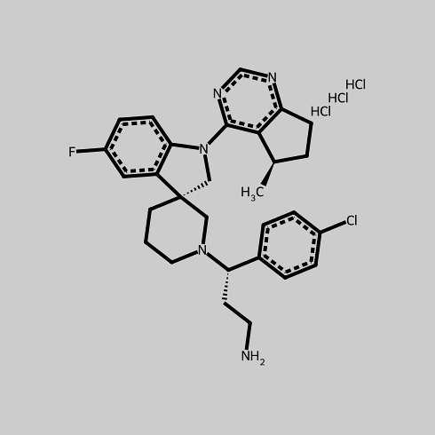 C[C@@H]1CCc2ncnc(N3C[C@]4(CCCN([C@@H](CCN)c5ccc(Cl)cc5)C4)c4cc(F)ccc43)c21.Cl.Cl.Cl